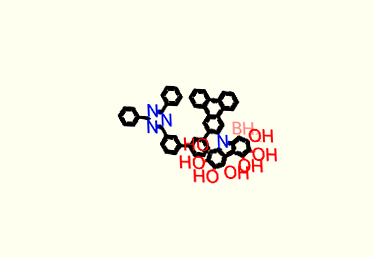 Bc1c(O)c(O)c(O)c2c3c(O)c(O)c(O)c(O)c3n(-c3cc4c5ccccc5c5ccccc5c4cc3-c3cccc(-c4cccc(-c5nc(-c6ccccc6)nc(-c6ccccc6)n5)c4)c3)c12